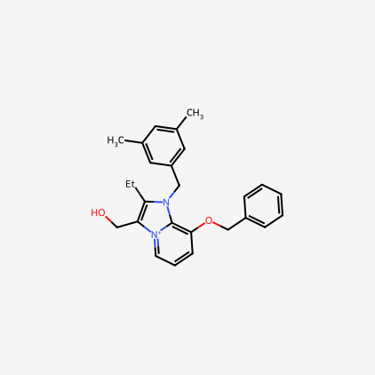 CCc1c(CO)[n+]2cccc(OCc3ccccc3)c2n1Cc1cc(C)cc(C)c1